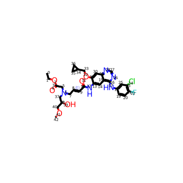 CCOC(=O)CN(C/C=C/C(=O)Nc1cc2c(Nc3ccc(F)c(Cl)c3)ncnc2cc1OCC1CC1)C[C@@H](O)COC